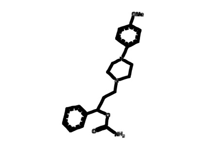 COc1ccc(N2CCN(CCC(OC(N)=O)c3ccccc3)CC2)cc1